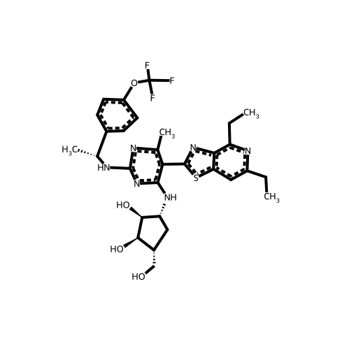 CCc1cc2sc(-c3c(C)nc(N[C@H](C)c4ccc(OC(F)(F)F)cc4)nc3N[C@@H]3C[C@H](CO)[C@@H](O)[C@H]3O)nc2c(CC)n1